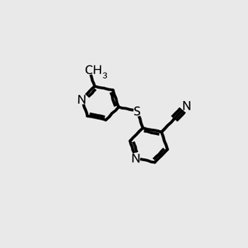 Cc1cc(Sc2cnccc2C#N)ccn1